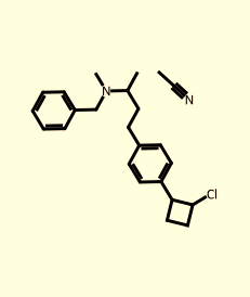 CC#N.CC(CCc1ccc(C2CCC2Cl)cc1)N(C)Cc1ccccc1